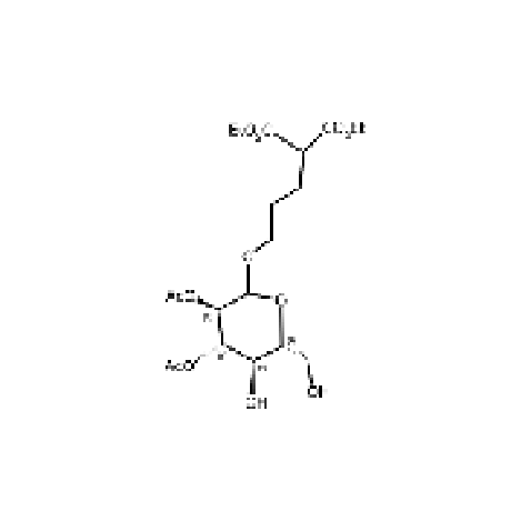 CCOC(=O)C(CCCOC1O[C@H](CO)[C@@H](O)[C@H](OC(C)=O)[C@H]1OC(C)=O)C(=O)OCC